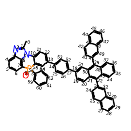 Cc1nc2cccc3c2n1-c1ccc(-c2ccc(-c4ccc5c(-c6ccc7ccccc7c6)c6ccccc6c(-c6ccc7ccccc7c6)c5c4)cc2)cc1P3(=O)c1ccccc1